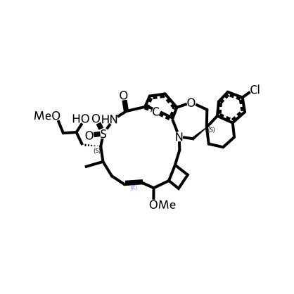 COCC(O)C[C@H]1C(C)C/C=C/C(OC)C2CCC2CN2C[C@@]3(CCCc4cc(Cl)ccc43)COc3ccc(cc32)C(=O)NS1(=O)=O